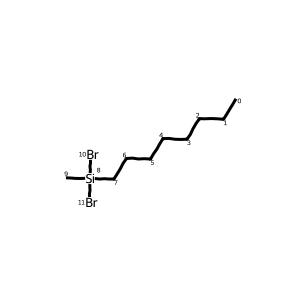 CCCCCCCC[Si](C)(Br)Br